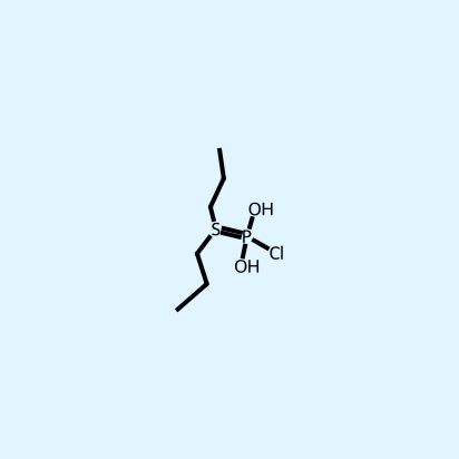 CCCS(CCC)=P(O)(O)Cl